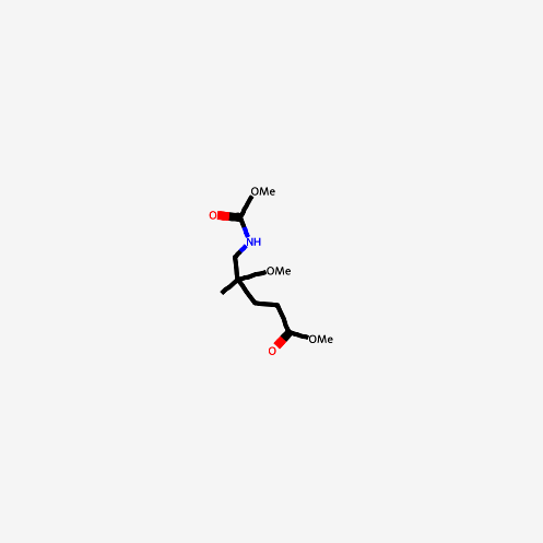 COC(=O)CCC(C)(CNC(=O)OC)OC